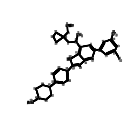 COCC1(CN(C)c2cc(-c3cc(F)cc(C(F)(F)F)c3)nc3nc(-c4ccc(C5CCN(OC(C)=O)CC5)cc4)[nH]c23)CCC1